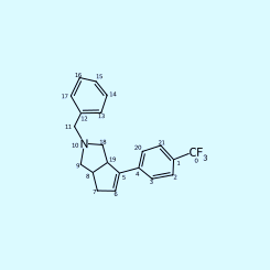 FC(F)(F)c1ccc(C2=CCC3CN(Cc4ccccc4)CC23)cc1